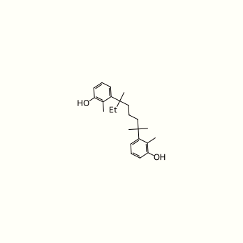 CCC(C)(CCCC(C)(C)c1cccc(O)c1C)c1cccc(O)c1C